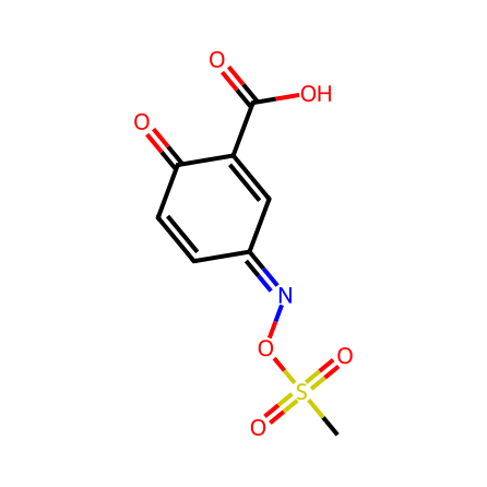 CS(=O)(=O)ON=C1C=CC(=O)C(C(=O)O)=C1